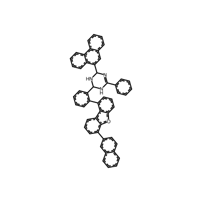 c1ccc(C2=NC(c3cc4ccccc4c4ccccc34)NC(c3ccccc3-c3cccc4oc5c(-c6ccc7ccccc7c6)cccc5c34)N2)cc1